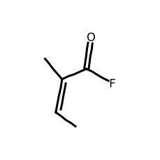 CC=C(C)C(=O)F